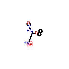 O=C(CCCC/C=C(/CNCCN1CCOCC1)COc1cccc2ccccc12)NO